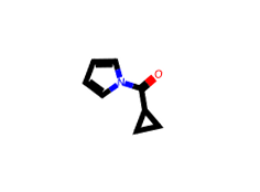 O=C(C1CC1)n1cccc1